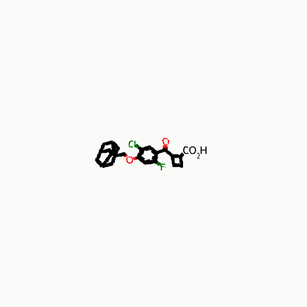 O=C(O)C1CCC1C(=O)c1cc(Cl)c(OCC23CC4CC(CC(C4)C2)C3)cc1F